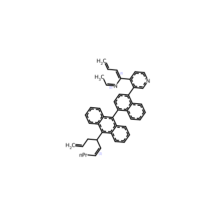 C=C/C=C(\N=C/C)c1ccncc1-c1ccc(-c2c3ccccc3c(C(/C=C\CCC)CC=C)c3ccccc23)c2ccccc12